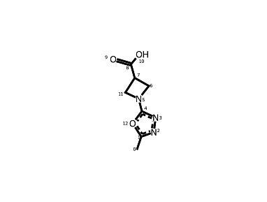 Cc1nnc(N2CC(C(=O)O)C2)o1